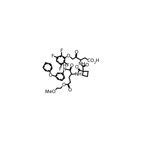 COCCOC(=O)CCC(NC(=O)C1(C(=O)NC(CC(=O)O)C(=O)COc2c(F)c(F)cc(F)c2F)CCC1)C(=O)Nc1cccc(Oc2ccccc2)c1